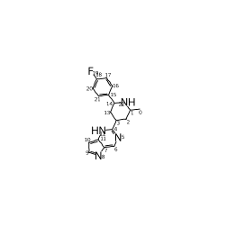 CC1CC(c2ncc3nccc-3[nH]2)CC(c2ccc(F)cc2)N1